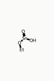 CC[O][Sn](=[O])[OH]